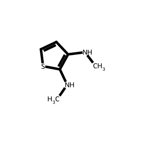 CNc1ccsc1NC